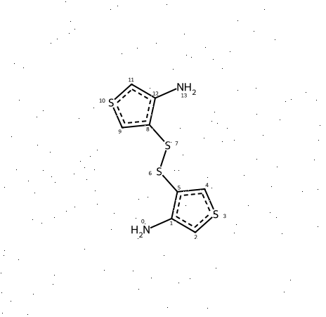 Nc1cscc1SSc1cscc1N